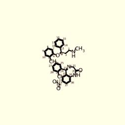 CNCC[C@@H](Oc1ccccc1C)c1ccccc1.O=C1CN=C(c2ccccc2Cl)c2cc([N+](=O)[O-])ccc2N1